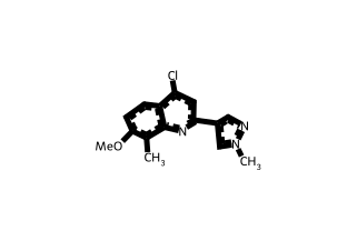 COc1ccc2c(Cl)cc(-c3cnn(C)c3)nc2c1C